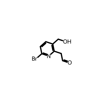 O=CCc1nc(Br)ccc1CO